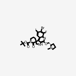 CN1CCC[C@H]1COc1nc2c(F)c(Br)c(I)cc2c2c1NCC21CCCN(C(=O)OC(C)(C)C)C1=O